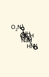 Cc1ccc(C(CC(=O)O)NC(=O)CNC(=O)CCCCNc2ccccn2)cc1[N+](=O)[O-].[NaH]